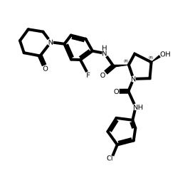 O=C(Nc1ccc(N2CCCCC2=O)cc1F)[C@H]1C[C@@H](O)CN1C(=O)Nc1ccc(Cl)cc1